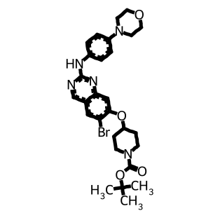 CC(C)(C)OC(=O)N1CCC(Oc2cc3nc(Nc4ccc(N5CCOCC5)cc4)ncc3cc2Br)CC1